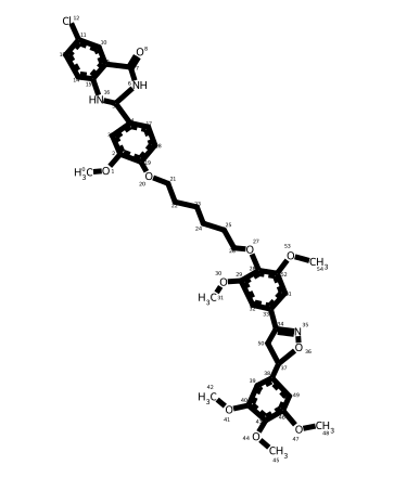 COc1cc(C2NC(=O)c3cc(Cl)ccc3N2)ccc1OCCCCCCOc1c(OC)cc(C2=NOC(c3cc(OC)c(OC)c(OC)c3)C2)cc1OC